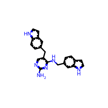 Nc1ncc(Cc2ccc3[nH]ccc3c2)c(NCc2ccc3cc[nH]c3c2)n1